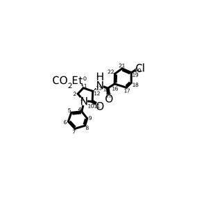 CCOC(=O)[C@H]1CN(c2ccccc2)C(=O)[C@H]1NC(=O)c1ccc(Cl)cc1